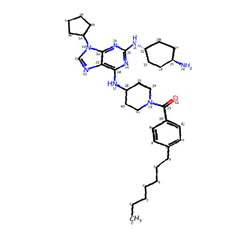 CCCCCCCc1ccc(C(=O)N2CCC(Nc3nc(N[C@H]4CC[C@H](N)CC4)nc4c3ncn4C3CCCC3)CC2)cc1